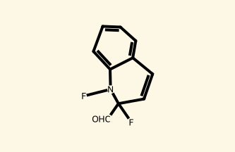 O=CC1(F)C=Cc2ccccc2N1F